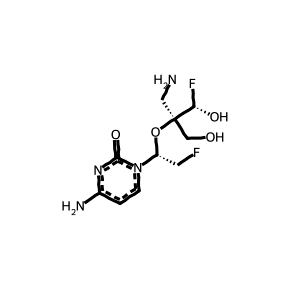 NC[C@](CO)(O[C@H](CF)n1ccc(N)nc1=O)[C@@H](O)F